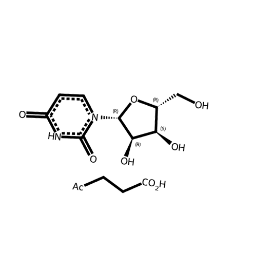 CC(=O)CCC(=O)O.O=c1ccn([C@@H]2O[C@H](CO)[C@@H](O)[C@H]2O)c(=O)[nH]1